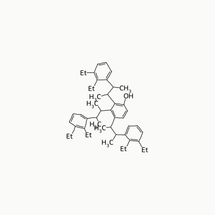 CCc1cccc(C(C)C(C)c2ccc(O)c(C(C)C(C)c3cccc(CC)c3CC)c2C(C)C(C)c2cccc(CC)c2CC)c1CC